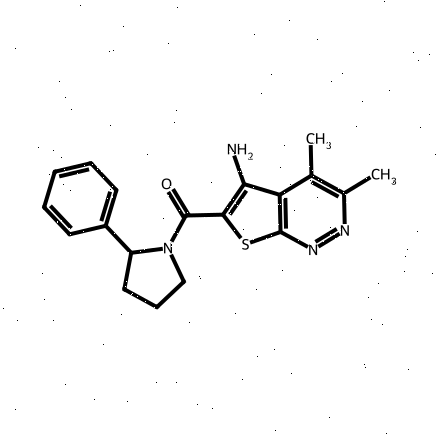 Cc1nnc2sc(C(=O)N3CCCC3c3ccccc3)c(N)c2c1C